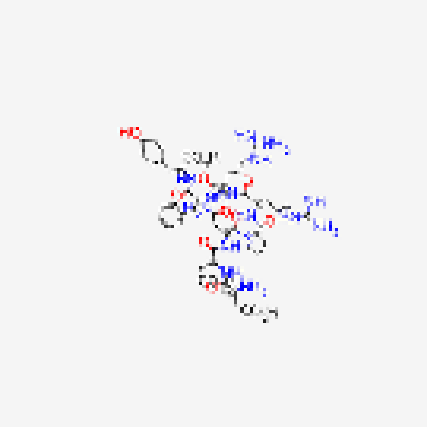 N=C(N)NCCC[C@H](NC(=O)[C@H](CCCNC(=N)N)NC(=O)[C@@H]1CCCN1C(=O)[C@H](CC(N)=O)NC(=O)[C@H](CC(=O)O)NC(=O)[C@@H](N)CC(=O)O)C(=O)N[C@@H](Cc1ccccc1)C(=O)N[C@@H](Cc1ccc(O)cc1)C(=O)O